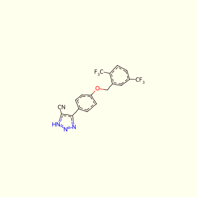 N#Cc1[nH]nnc1-c1ccc(OCc2cc(C(F)(F)F)ccc2C(F)(F)F)cc1